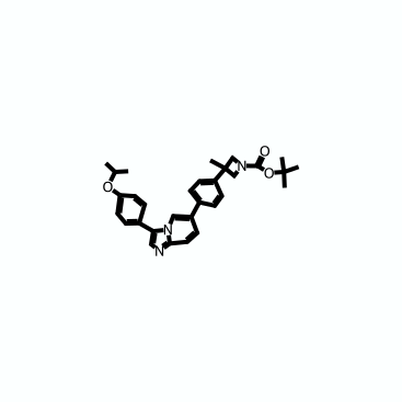 CC(C)Oc1ccc(-c2cnc3ccc(-c4ccc(C5(C)CN(C(=O)OC(C)(C)C)C5)cc4)cn23)cc1